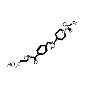 CC(C)S(=O)(=O)N1CCC(NCc2ccc(C(=O)NCCC(=O)O)cc2)CC1